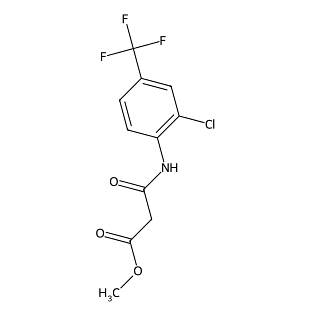 COC(=O)CC(=O)Nc1ccc(C(F)(F)F)cc1Cl